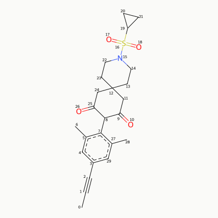 CC#Cc1cc(C)c(C2C(=O)CC3(CCN(S(=O)(=O)C4CC4)CC3)CC2=O)c(C)c1